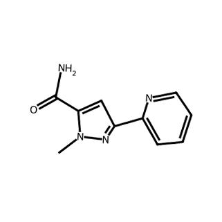 Cn1nc(-c2ccccn2)cc1C(N)=O